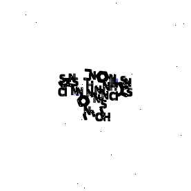 CCN(CC)c1ccc(/N=N/c2snc3scc(Cl)c23)c(Nc2nc(Nc3cc(N(CC)CC)ccc3/N=N/c3snc4scc(Cl)c34)nc(SCCO)n2)c1